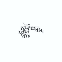 CCN1CCN(c2ccc(C(=O)NC(C(=O)N3C[C@H](C4CC4)[C@H]4OCC(=O)[C@H]43)C(C)(C)CC)cc2)CC1